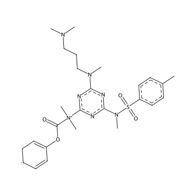 Cc1ccc(S(=O)(=O)N(C)c2nc(N(C)CCCN(C)C)nc([N+](C)(C)C(=O)OC3=CC[CH]C=C3)n2)cc1